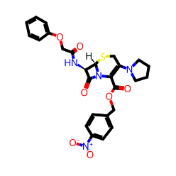 O=C(COc1ccccc1)N[C@@H]1C(=O)N2C(C(=O)OCc3ccc([N+](=O)[O-])cc3)=C(N3CCCC3)CS[C@H]12